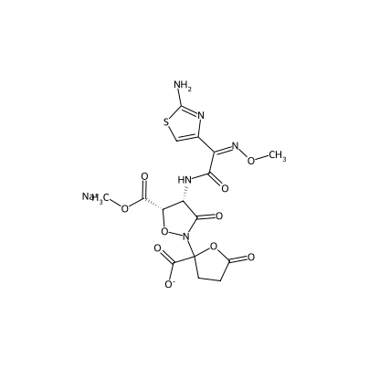 CO/N=C(\C(=O)N[C@@H]1C(=O)N(C2(C(=O)[O-])CCC(=O)O2)O[C@@H]1C(=O)OC)c1csc(N)n1.[Na+]